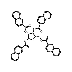 O=C(OC[C@@H]1SC(OC(=O)c2ccc3ccccc3c2)[C@H](OC(=O)c2ccc3ccccc3c2)[C@H]1OC(=O)c1ccc2ccccc2c1)c1ccc2ccccc2c1